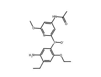 CCOc1cc(CC)c(N)cc1[S+]([O-])c1cc(NC(C)=O)cc(OC)n1